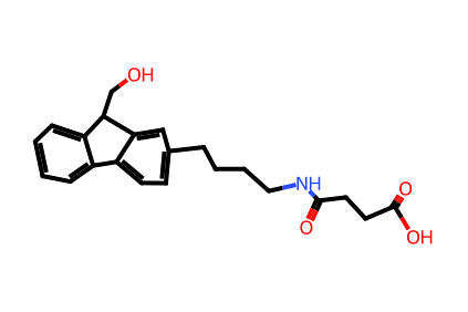 O=C(O)CCC(=O)NCCCCc1ccc2c(c1)C(CO)c1ccccc1-2